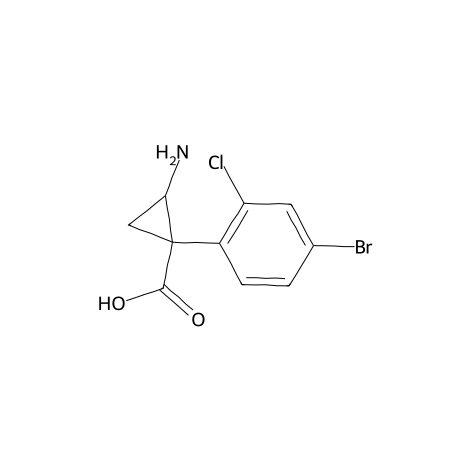 NC1CC1(C(=O)O)c1ccc(Br)cc1Cl